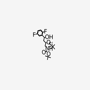 CC(C)(C)OC(=O)NCC(CC(O)c1cc(F)ccc1F)O[Si](C)(C)C(C)(C)C